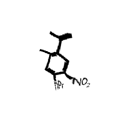 C=C(C)c1cc([N+](=O)[O-])c(CCC)cc1C